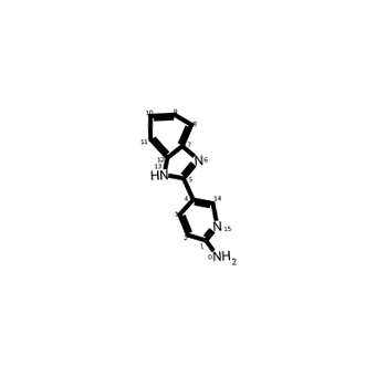 Nc1ccc(-c2nc3ccccc3[nH]2)cn1